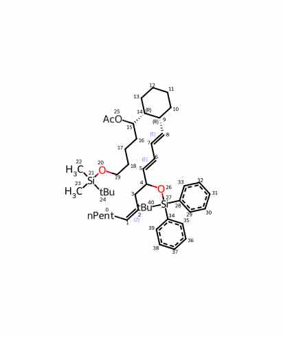 CCCCC/C=C\CC(/C=C/C=C/[C@H]1CCCC[C@H]1C(CCCCO[Si](C)(C)C(C)(C)C)OC(C)=O)O[Si](c1ccccc1)(c1ccccc1)C(C)(C)C